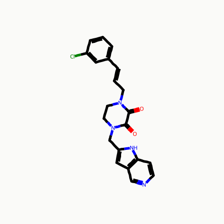 O=C1C(=O)N(Cc2cc3cnccc3[nH]2)CCN1C/C=C/c1cccc(Cl)c1